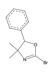 CC1(C)N=C(Br)OC1c1ccccc1